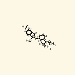 COC1c2cccc(CC3Cc4cc(C)ccc4C3O)c2CC1C